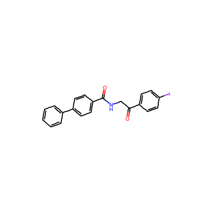 O=C(CNC(=O)c1ccc(-c2ccccc2)cc1)c1ccc(I)cc1